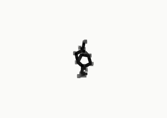 CC(C)N1CC2CC1CN2C